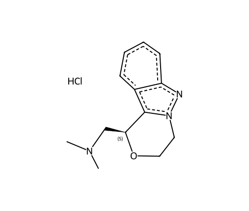 CN(C)C[C@@H]1OCCn2nc3ccccc3c21.Cl